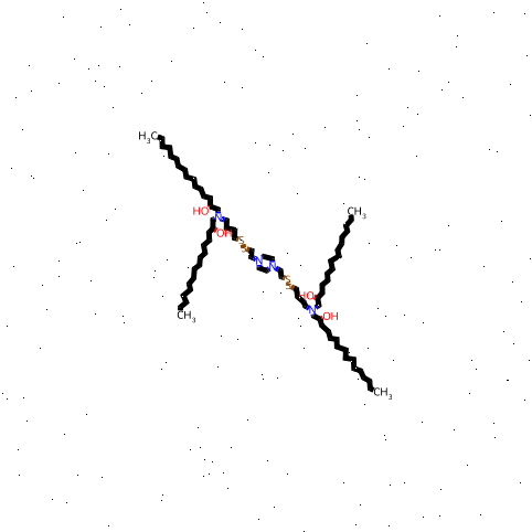 CCCCCCCCCCCCCCC(O)CN(CCCCSSCCN1CCN(CCSSCCCCN(CC(O)CCCCCCCCCCCCCC)CC(O)CCCCCCCCCCCCCC)CC1)CC(O)CCCCCCCCCCCCCC